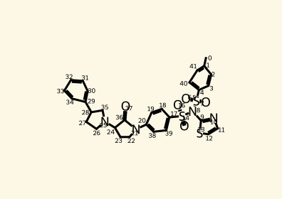 Cc1ccc(S(=O)(=O)N(c2nccs2)S(=O)(=O)c2ccc(N3CCC(N4CCC(c5ccccc5)C4)C3=O)cc2)cc1